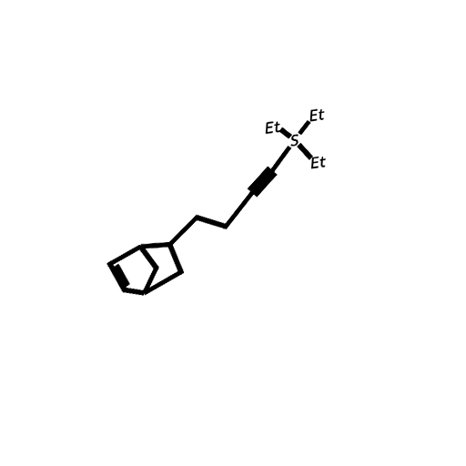 CCS(C#CCCC1CC2C=CC1C2)(CC)CC